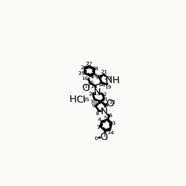 COc1ccc(CN2CCC3(CCN(C(C(C)=O)[C@@H]4CNC[C@@H]4c4ccccc4)CC3)C2=O)cc1.Cl